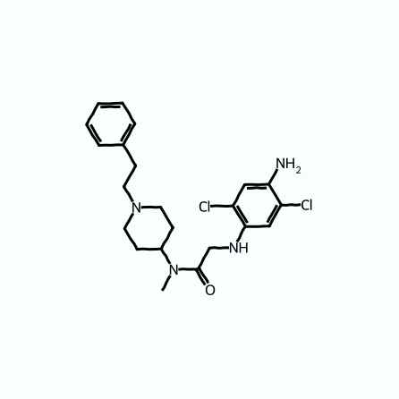 CN(C(=O)CNc1cc(Cl)c(N)cc1Cl)C1CCN(CCc2ccccc2)CC1